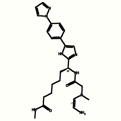 CNC(=O)CCCCC[C@H](NC(=O)CN(C)/C=C\N)c1ncc(-c2ccc(-n3cccn3)cc2)[nH]1